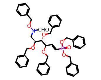 O=CN(C[C@H](OCc1ccccc1)[C@H](OCc1ccccc1)[C@@H](/C=C/P(=O)(OCc1ccccc1)OCc1ccccc1)OCc1ccccc1)OCc1ccccc1